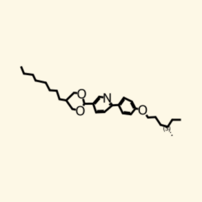 CCCCCCCCC1COC(c2ccc(-c3ccc(OCCC[C@@H](C)CC)cc3)nc2)OC1